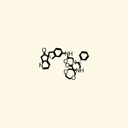 O=C(CN1C(=O)C2(COCCOC2)NC[C@H]1c1ccccc1)Nc1ccc2c(c1)C[C@@]1(C2)C(=O)Cc2ncccc21